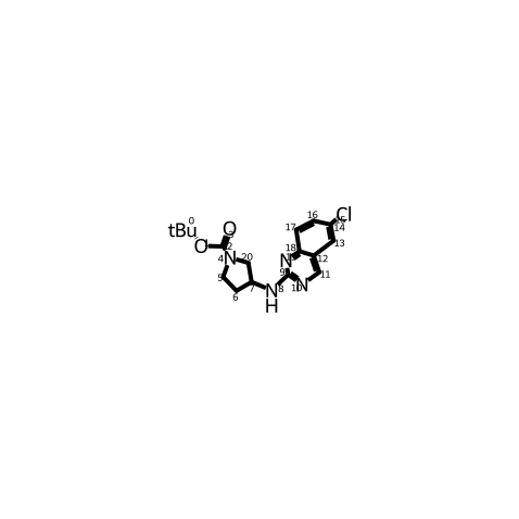 CC(C)(C)OC(=O)N1CCC(Nc2ncc3cc(Cl)ccc3n2)C1